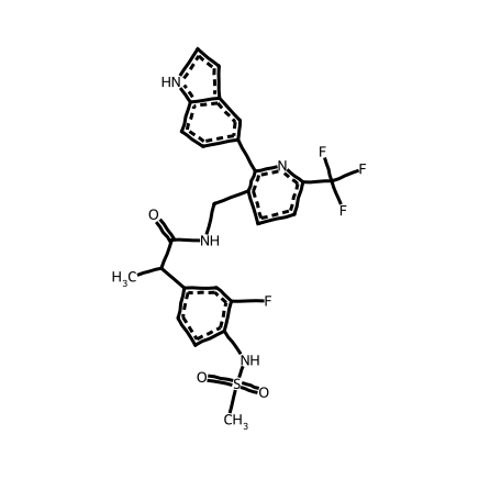 CC(C(=O)NCc1ccc(C(F)(F)F)nc1-c1ccc2[nH]ccc2c1)c1ccc(NS(C)(=O)=O)c(F)c1